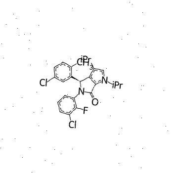 Cc1ccc(Cl)cc1[C@H]1c2c(C(C)C)cn(C(C)C)c2C(=O)N1c1cccc(Cl)c1F